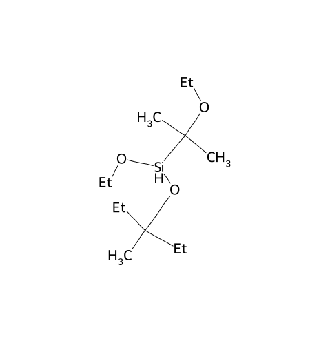 CCO[SiH](OC(C)(CC)CC)C(C)(C)OCC